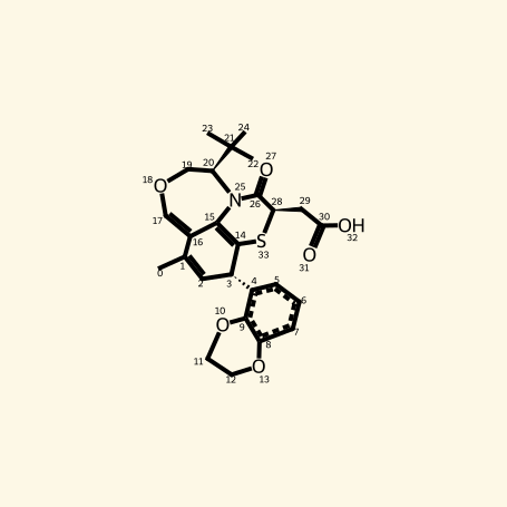 CC1=C[C@@H](c2cccc3c2OCCO3)C2=C3C1=COC[C@@H](C(C)(C)C)N3C(=O)[C@@H](CC(=O)O)S2